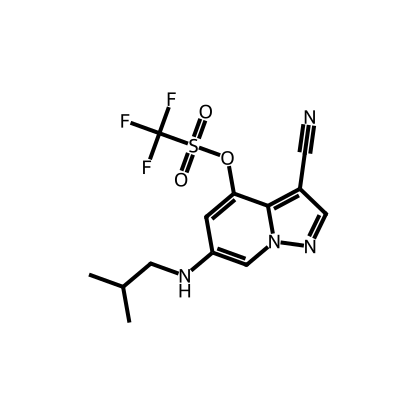 CC(C)CNc1cc(OS(=O)(=O)C(F)(F)F)c2c(C#N)cnn2c1